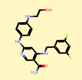 NC(=O)c1cnc(Nc2ccc(NCCO)cc2)cc1NCc1cc(F)cc(F)c1